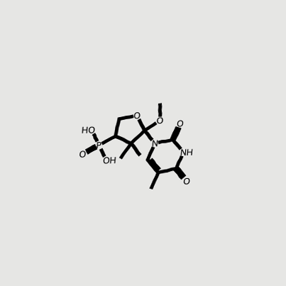 COC1(n2cc(C)c(=O)[nH]c2=O)OCC(P(=O)(O)O)C1(C)C